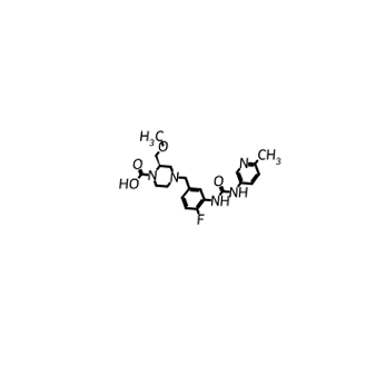 COC[C@H]1CN(Cc2ccc(F)c(NC(=O)Nc3ccc(C)nc3)c2)CCN1C(=O)O